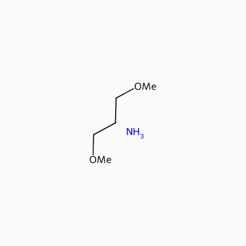 COCCCOC.N